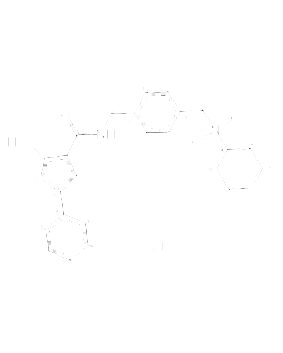 Cc1oc(-c2ccccc2)cc1C(=O)NCc1ccc(C[N+](C)(C)C2CCOCC2)cc1.[I-]